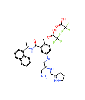 Cc1ccc(NC[C@H](CN)NC[C@H]2CCCN2)cc1C(=O)N[C@H](C)c1cccc2ccccc12.O=C(O)C(F)(F)F.O=C(O)C(F)(F)F